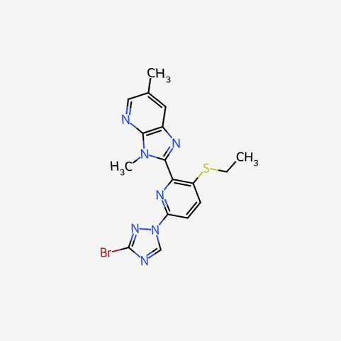 CCSc1ccc(-n2cnc(Br)n2)nc1-c1nc2cc(C)cnc2n1C